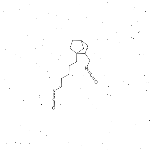 O=C=NCCCCCC12CCC(CC1CN=C=O)C2